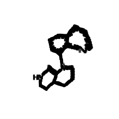 C1=C2C(CCCN2c2cccc3cccnc23)CCN1